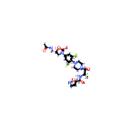 CC(=O)NC[C@H]1CN(c2cc(F)c(N3CCN(C(=O)[C@H](C)NC(=O)c4ccno4)CC3)c(F)c2)C(=O)O1